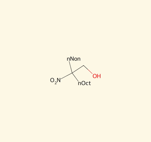 CCCCCCCCCC(CO)(CCCCCCCC)[N+](=O)[O-]